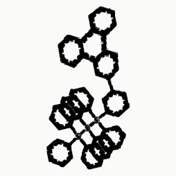 c1ccc([Si](c2ccccc2)(c2ccccc2)[Si](c2ccccc2)(c2ccccc2)[Si](c2ccccc2)(c2ccccc2)c2cccc(-c3ccc4c5ccccc5c5ccccc5c4c3)c2)cc1